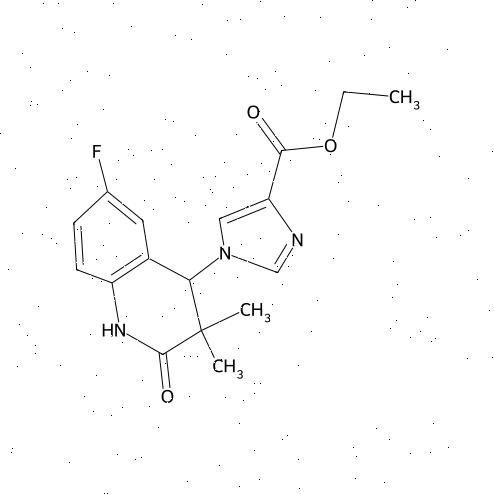 CCOC(=O)c1cn(C2c3cc(F)ccc3NC(=O)C2(C)C)cn1